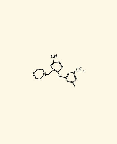 Cc1cc(Sc2ccc(C#N)cc2CN2CCSCC2)cc(C(F)(F)F)c1